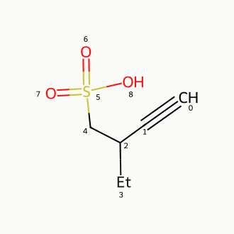 C#CC(CC)CS(=O)(=O)O